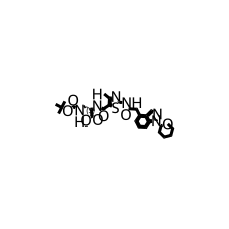 COC(=O)[C@H](CNC(=O)OC(C)(C)C)NC(=O)c1sc(NC(=O)Cc2cccc3c2cnn3C2CCCCO2)nc1C